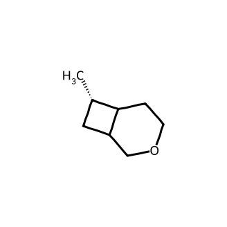 C[C@H]1CC2COCCC21